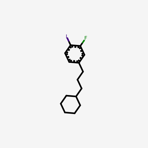 Fc1cc(CCCC2CCCCC2)ccc1I